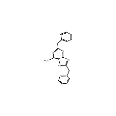 Nc1nc(Cc2ccccc2)nc2nc(Cc3ccccc3)[nH]c12